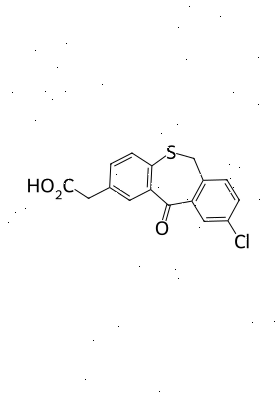 O=C(O)Cc1ccc2c(c1)C(=O)c1cc(Cl)ccc1CS2